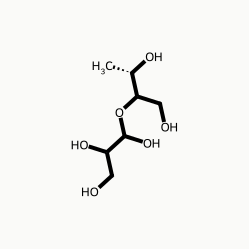 C[C@H](O)C(CO)OC(O)C(O)CO